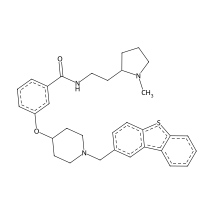 CN1CCCC1CCNC(=O)c1cccc(OC2CCN(Cc3ccc4sc5ccccc5c4c3)CC2)c1